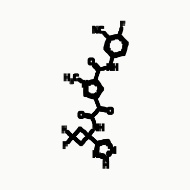 Cn1cc(C(=O)C(=O)NC2(c3cn[nH]n3)CC(F)(F)C2)cc1C(=O)Nc1ccc(F)c(C#N)c1